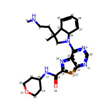 CNCCC1(C)CN(c2ncnc3sc(C(=O)NC4CCOCC4)nc23)C2C=CC=CC21